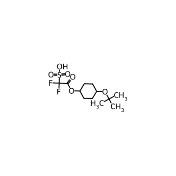 CC(C)(C)OC1CCC(OC(=O)C(F)(F)S(=O)(=O)O)CC1